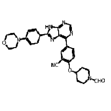 N#Cc1cc(-c2ncnc3[nH]c(C4C=CC(N5CCOCC5)=CC4)nc23)ccc1OC1CCN(C=O)CC1